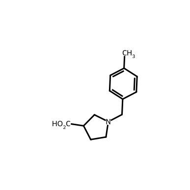 Cc1ccc(CN2CCC(C(=O)O)C2)cc1